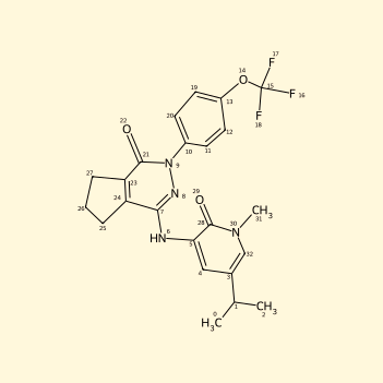 CC(C)c1cc(Nc2nn(-c3ccc(OC(F)(F)F)cc3)c(=O)c3c2CCC3)c(=O)n(C)c1